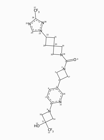 O=C(N1CC(c2ccc(N3CC(O)(C(F)(F)F)C3)nc2)C1)N1CC2(CC(n3cnc(C(F)(F)F)n3)C2)C1